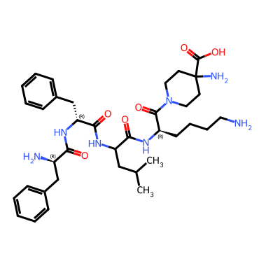 CC(C)CC(NC(=O)[C@@H](Cc1ccccc1)NC(=O)[C@H](N)Cc1ccccc1)C(=O)N[C@H](CCCCN)C(=O)N1CCC(N)(C(=O)O)CC1